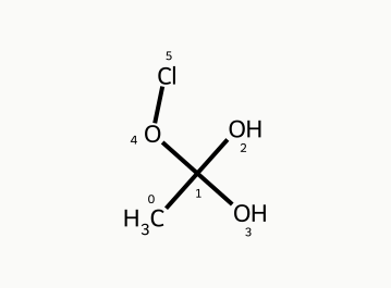 CC(O)(O)OCl